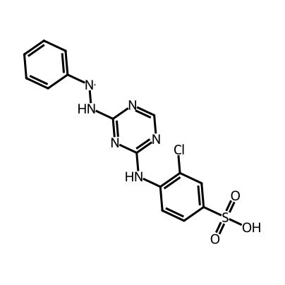 O=S(=O)(O)c1ccc(Nc2ncnc(N[N]c3ccccc3)n2)c(Cl)c1